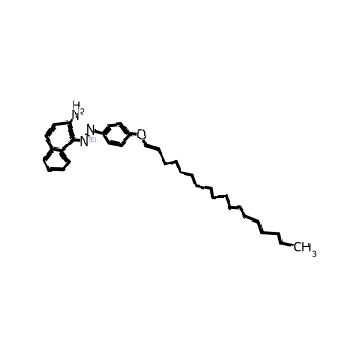 CCCCCCCCCCCCCCCCCCOc1ccc(/N=N/c2c(N)ccc3ccccc23)cc1